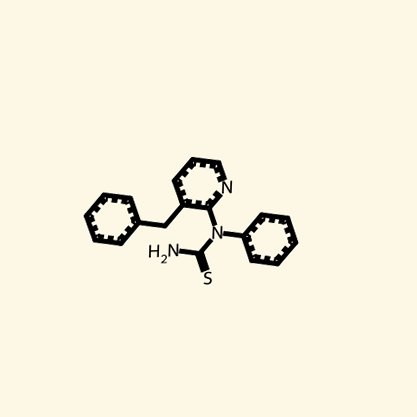 NC(=S)N(c1ccccc1)c1ncccc1Cc1ccccc1